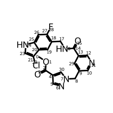 COC(=O)c1cnn(Cc2cncc(C(=O)NCc3cc4c(Cl)c[nH]c4cc3F)c2)c1